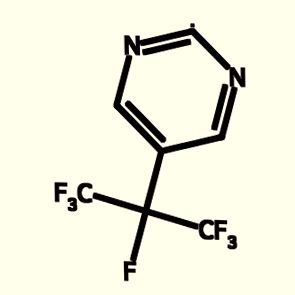 FC(F)(F)C(F)(c1cn[c]nc1)C(F)(F)F